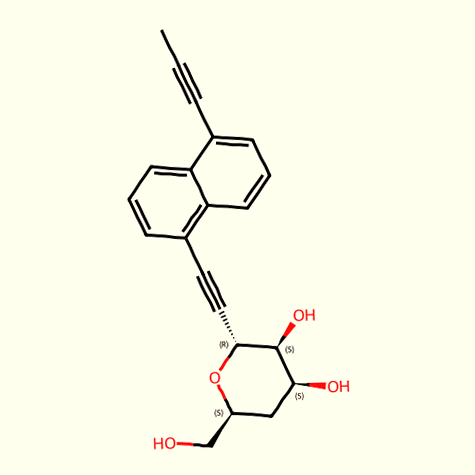 CC#Cc1cccc2c(C#C[C@H]3O[C@H](CO)C[C@H](O)[C@@H]3O)cccc12